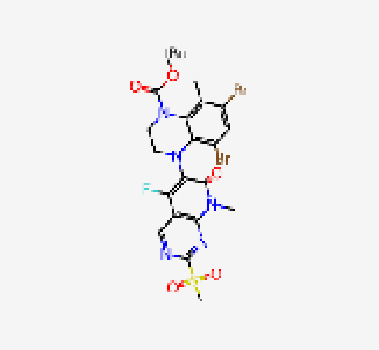 Cc1c(Br)cc(Br)c2c1N(C(=O)OC(C)(C)C)CCN2c1c(F)c2cnc(S(C)(=O)=O)nc2n(C)c1=O